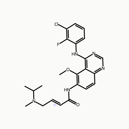 COc1c(NC(=O)/C=C/CN(C)C(C)C)ccc2ncnc(Nc3cccc(Cl)c3F)c12